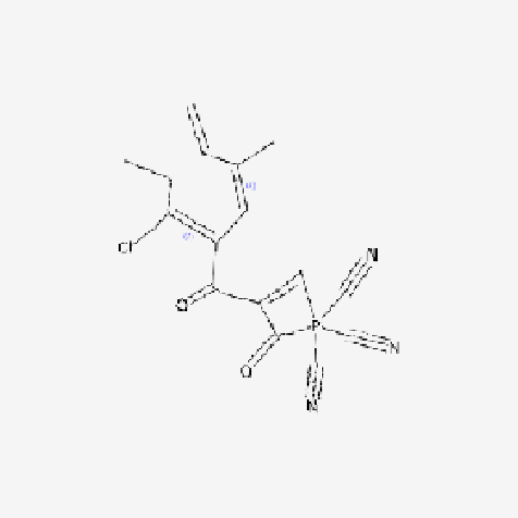 C=C/C(C)=C\C(C(=O)C1=CP(C#N)(C#N)(C#N)C1=O)=C(\Cl)CC